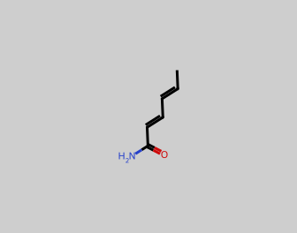 CC=CC=CC(N)=O